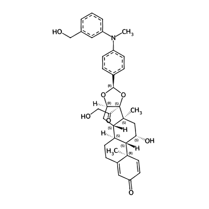 CN(c1ccc([C@@H]2O[C@@H]3C[C@H]4[C@@H]5CCC6=CC(=O)C=C[C@]6(C)[C@H]5[C@@H](O)C[C@]4(C)[C@]3(C(=O)CO)O2)cc1)c1cccc(CO)c1